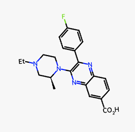 CCN1CCN(c2nc3cc(C(=O)O)ccc3nc2-c2ccc(F)cc2)[C@@H](C)C1